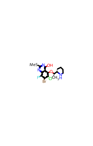 CSc1nc(O)c2c(O[C@@H](C)[C@@H]3CCCCN3)c(Cl)c(Br)c(F)c2n1